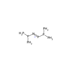 PP(P)/N=P/P(P)P